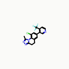 Cc1nnc2n1-c1c(Cl)cc(-c3cnccc3C(F)(F)F)cc1CC2